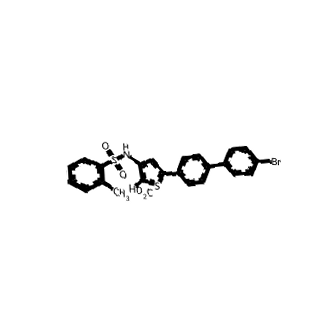 Cc1ccccc1S(=O)(=O)Nc1cc(-c2ccc(-c3ccc(Br)cc3)cc2)sc1C(=O)O